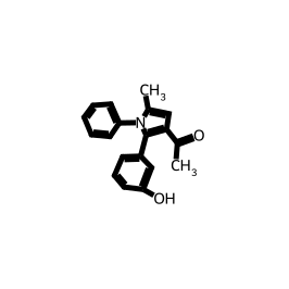 CC(=O)c1cc(C)n(-c2ccccc2)c1-c1cccc(O)c1